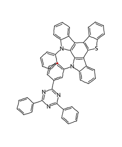 c1ccc(-c2nc(-c3ccccc3)nc(-c3cccc(-n4c5ccccc5c5c6sc7ccccc7c6c6c7ccccc7n(-c7ccccc7)c6c54)c3)n2)cc1